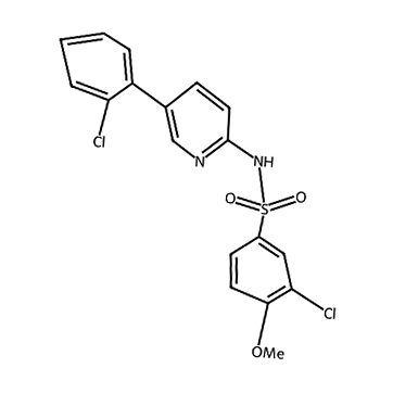 COc1ccc(S(=O)(=O)Nc2ccc(-c3ccccc3Cl)cn2)cc1Cl